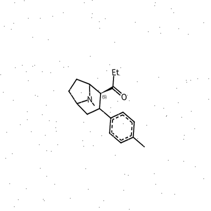 CCC(=O)[C@H]1C(c2ccc(C)cc2)CC2CCC1N2C